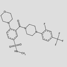 CNS(=O)(=O)c1ccc(N2CCOCC2)c(C(=O)N2CCN(c3ccc(C(F)(F)F)cc3F)CC2)c1